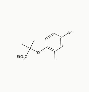 CCOC(=O)C(C)(C)Oc1ccc(Br)cc1C